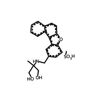 CC(CO)(CO)NCc1ccc2oc3ccc4ccccc4c3c2c1.CS(=O)(=O)O